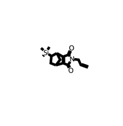 C=CCN1C(=O)C2=C(C1=O)C1CC2CC1[Si](C)(C)C